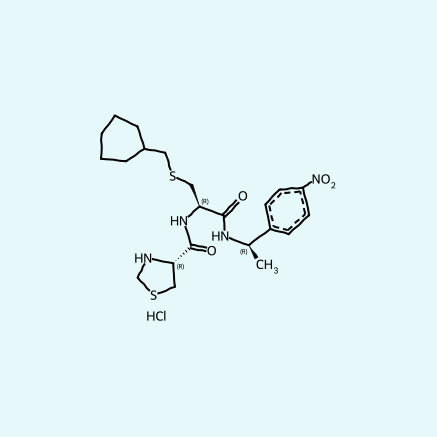 C[C@@H](NC(=O)[C@H](CSCC1CCCCC1)NC(=O)[C@@H]1CSCN1)c1ccc([N+](=O)[O-])cc1.Cl